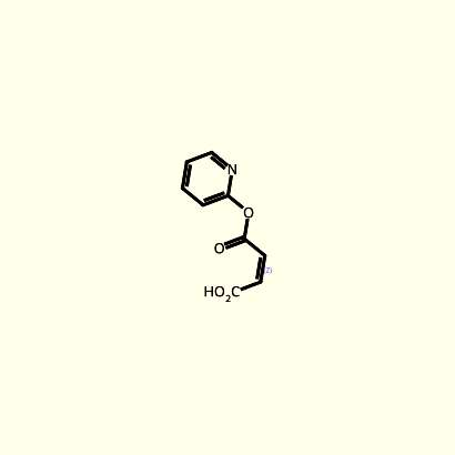 O=C(O)/C=C\C(=O)Oc1ccccn1